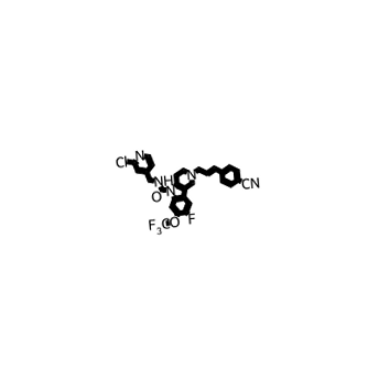 N#Cc1ccc(C=CCN2CCc3c(c4cc(F)c(OC(F)(F)F)cc4n3C(=O)NCc3ccnc(Cl)c3)C2)cc1